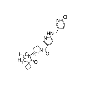 CN(C(=O)C1(C)CCC1)[C@H]1CCN(C(=O)c2ccc(NCc3ccc(Cl)nc3)nc2)C1